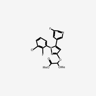 COC(=O)C(OC)Oc1cc(-c2cncc(F)c2)n(-c2cccc(Cl)c2F)n1